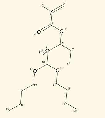 C=C(C)C(=O)OC(CC)[SiH2]C(OCCCC)OCCCC